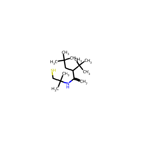 C=C(NC(C)(C)CS)C(CC(C)(C)C)C(C)(C)C